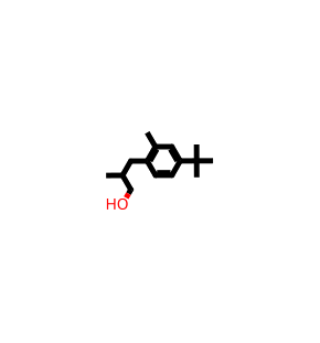 Cc1cc(C(C)(C)C)ccc1CC(C)CO